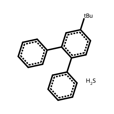 CC(C)(C)c1ccc(-c2ccccc2)c(-c2ccccc2)c1.S